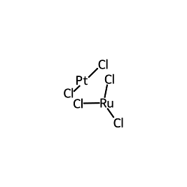 [Cl][Pt][Cl].[Cl][Ru]([Cl])[Cl]